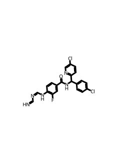 N=C/N=C\Nc1ccc(C(=O)NC(c2ccc(Cl)cc2)c2ccc(Cl)cn2)cc1F